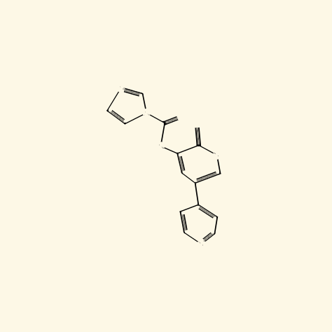 O=C(Nc1cc(-c2ccncc2)c[nH]c1=O)n1ccnc1